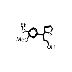 CCOc1ccc(C(CCO)C2C=CCS2)cc1OC